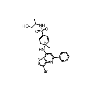 CC(CO)NS(=O)(=O)C1=CC[C@@](C)(Nc2cc(-c3ccccc3)nc3c(Br)cnn23)C=C1